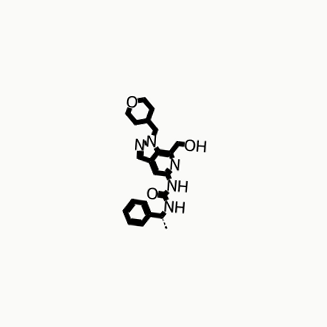 C[C@@H](NC(=O)Nc1cc2cnn(CC3CCOCC3)c2c(CO)n1)c1ccccc1